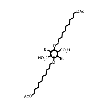 CCc1c(OCCCCCCCCCCOC(C)=O)c(C(=O)O)c(CC)c(OCCCCCCCCCCOC(C)=O)c1C(=O)O